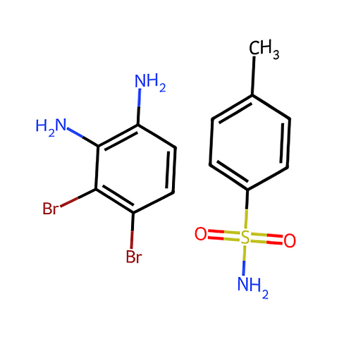 Cc1ccc(S(N)(=O)=O)cc1.Nc1ccc(Br)c(Br)c1N